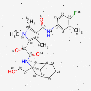 Cc1cc(NC(=O)c2c(C)c(C(=O)C(=O)NC3(CCO)CC4CCCC(C4)C3)n(C)c2C)ccc1F